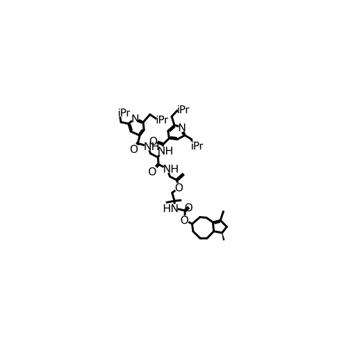 C=C(CNC(=O)C(CNC(=O)c1cc(CC(C)C)nc(CC(C)C)c1)NC(=O)c1cc(CC(C)C)nc(CC(C)C)c1)OCC(C)(C)NC(=O)OC1CCCC2C(=C(C)C[C@H]2C)CC1